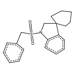 O=S(=O)(Cc1ccccc1)N1CC2(CCCCC2)c2ccccc21